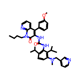 CCCCn1c(=O)c(NC(=O)Nc2c(C(C)C)ccc(N(C)Cc3cccnc3)c2C(C)C)c(-c2cccc(OC)c2)c2cccnc21